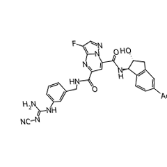 CC(=O)c1ccc2c(c1)C[C@@H](O)[C@@H]2NC(=O)c1cc(C(=O)NCc2cccc(N/C(N)=N/C#N)c2)nc2c(F)cnn12